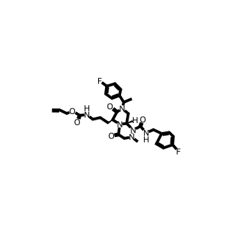 C=CCOC(=O)NCCC[C@H]1C(=O)N(C(C)c2ccc(F)cc2)C[C@H]2N1C(=O)CN(C)N2C(=O)NCc1ccc(F)cc1